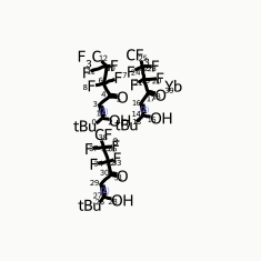 CC(C)(C)/C(O)=C/C(=O)C(F)(F)C(F)(F)C(F)(F)F.CC(C)(C)/C(O)=C/C(=O)C(F)(F)C(F)(F)C(F)(F)F.CC(C)(C)/C(O)=C/C(=O)C(F)(F)C(F)(F)C(F)(F)F.[Yb]